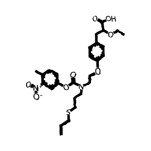 CCCSCCCN(CCOc1ccc(CC(OCC)C(=O)O)cc1)C(=O)Oc1ccc(C)c([N+](=O)[O-])c1